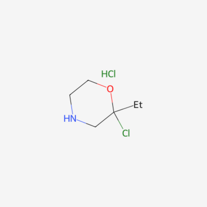 CCC1(Cl)CNCCO1.Cl